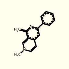 C=c1nc(-c2ccccc2)cc2c1=CN(C)C=C2